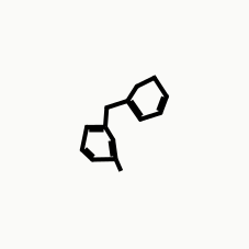 Cc1cccc(CC2=CC=CCC2)c1